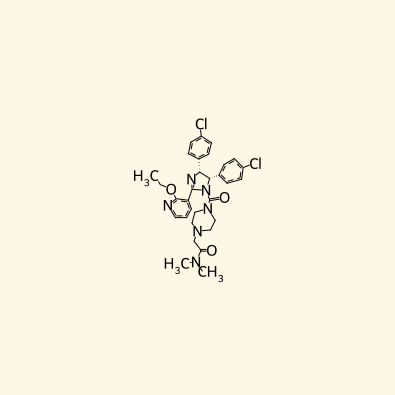 CCOc1ncccc1C1=N[C@H](c2ccc(Cl)cc2)[C@H](c2ccc(Cl)cc2)N1C(=O)N1CCN(CC(=O)N(C)C)CC1